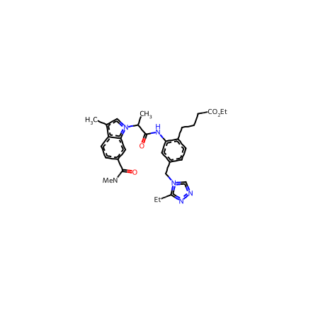 CCOC(=O)CCCc1ccc(Cn2cnnc2CC)cc1NC(=O)C(C)n1cc(C)c2ccc(C(=O)NC)cc21